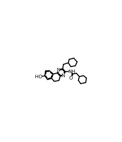 O=C(CC1CCCCC1)Nc1nc2c(nc1CC1CCCCC1)-c1ccc(O)cc1CC2